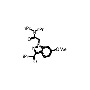 CCCN(CCC)C(=O)Cn1nc(C(=O)C(C)C)c2ccc(OC)cc21